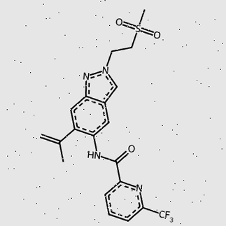 C=C(C)c1cc2nn(CCS(C)(=O)=O)cc2cc1NC(=O)c1cccc(C(F)(F)F)n1